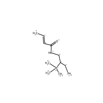 CC=CC(=O)NCC(CP)[N+](C)(C)C